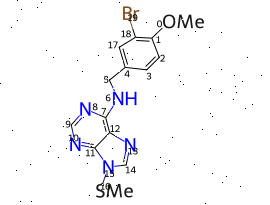 COc1ccc(CNc2ncnc3c2ncn3SC)cc1Br